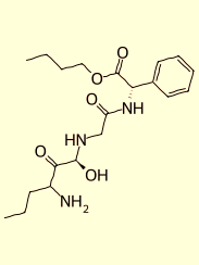 CCCCOC(=O)[C@@H](NC(=O)CN[C@@H](O)C(=O)C(N)CCC)c1ccccc1